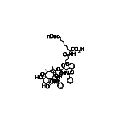 CCCCCCCCCCCCCCCCC(NC(=O)CCC(=O)O[C@@H](C(=O)O[C@H]1C[C@@]2(O)[C@@H](OC(=O)c3ccccc3)C3[C@](C)(C(=O)[C@H](C)C(=C1C)C2(C)C)[C@@H](O)C[C@H]1OC[C@@]31OC(C)=O)[C@@H](NC(=O)c1ccccc1)c1ccccc1)C(=O)O